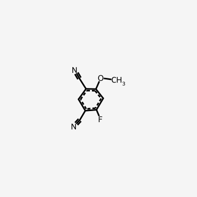 COc1cc(F)c(C#N)cc1C#N